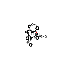 C[C@@]1(c2cccc(OC=O)c2)c2ccc([nH]2)[C@]2(C)c3cccc(c3)OCOc3cccc(c3)[C@@](C)(c3ccc2[nH]3)c2ccc([nH]2)[C@](C)(c2cccc(OPc3ccccc3)c2)c2ccc1[nH]2